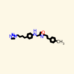 Cc1ccc(/C=C/c2nc(CNc3ccc(CCCCn4ccnn4)cc3)co2)cc1